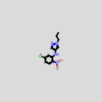 CCCn1cc(Nc2cc(Cl)ccc2[N+](=O)[O-])cn1